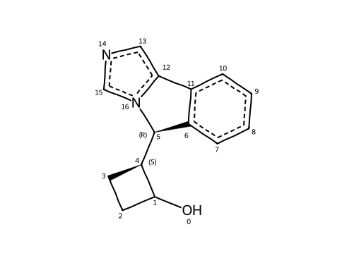 OC1CC[C@H]1[C@@H]1c2ccccc2-c2cncn21